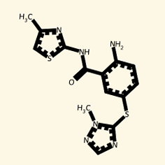 Cc1csc(NC(=O)c2cc(Sc3ncnn3C)ccc2N)n1